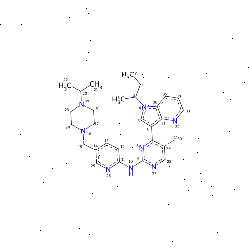 CCC(C)n1cc(-c2nc(Nc3ccc(CN4CCN(C(C)C)CC4)cn3)ncc2F)c2ncccc21